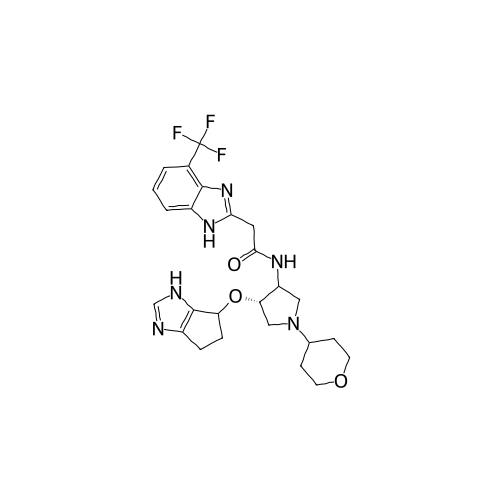 O=C(Cc1nc2c(C(F)(F)F)cccc2[nH]1)NC1CN(C2CCOCC2)C[C@@H]1OC1CCc2nc[nH]c21